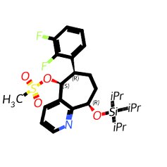 CC(C)[Si](O[C@@H]1CC[C@H](c2cccc(F)c2F)[C@H](OS(C)(=O)=O)c2cccnc21)(C(C)C)C(C)C